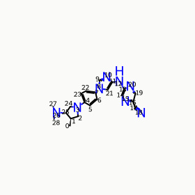 C[C@@H]1CN(c2ccc(-n3cnc(Nc4cnc(C#N)cn4)c3)cc2)C[C@@H]1N(C)C